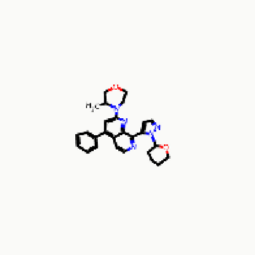 CC1COCCN1c1cc(-c2ccccc2)c2ccnc(-c3ccnn3C3CCCCO3)c2n1